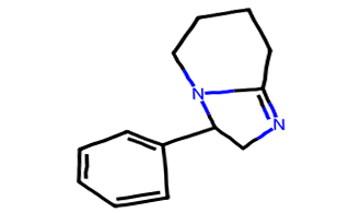 c1ccc(C2CN=C3CCCCN32)cc1